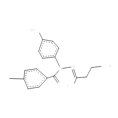 COc1ccc(N(/N=C(\C)CCC(=O)O)C(=O)c2ccc(Cl)cc2)cc1